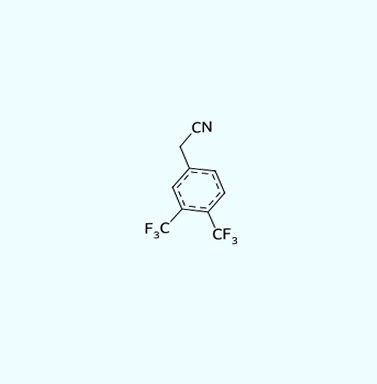 N#CCc1ccc(C(F)(F)F)c(C(F)(F)F)c1